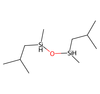 CC(C)C[SiH](C)O[SiH](C)CC(C)C